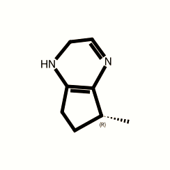 C[C@@H]1CCC2=C1N=CCN2